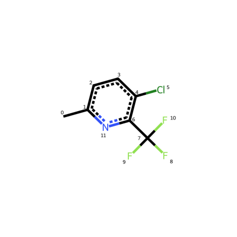 Cc1ccc(Cl)c(C(F)(F)F)n1